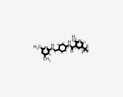 Cc1cc(C)nc(NCC2CCC(NC(=O)c3cc(C(F)(F)F)cnc3C)CC2)c1